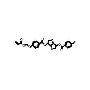 C=CC(=O)OCOc1ccc(C(=O)OC2COC3C(OC(=O)c4ccc(F)cc4)COC23)cc1